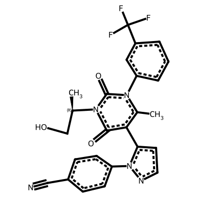 Cc1c(-c2ccnn2-c2ccc(C#N)cc2)c(=O)n([C@H](C)CO)c(=O)n1-c1cccc(C(F)(F)F)c1